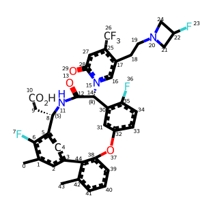 Cc1cc2cc(c1F)[C@H](CC(=O)O)NC(=O)[C@H](n1cc(CCN3CC(F)C3)c(C(F)(F)F)cc1=O)c1cc(ccc1F)Oc1cccc(C)c1-2